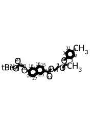 Cc1ccc(OC(C)OCCOC(=O)c2ccc3cc(OCC(=O)OC(C)(C)C)ccc3c2)cc1